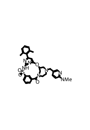 CNc1ccc(CN2CCN3CC(C2)Oc2cc(-c4c(C)cccc4C)nc(n2)NS(=O)(=O)c2cccc(c2)C3=O)cn1